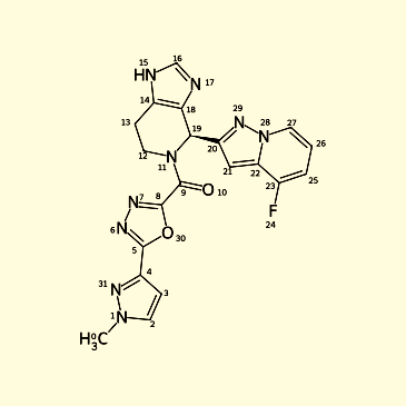 Cn1ccc(-c2nnc(C(=O)N3CCc4[nH]cnc4[C@H]3c3cc4c(F)cccn4n3)o2)n1